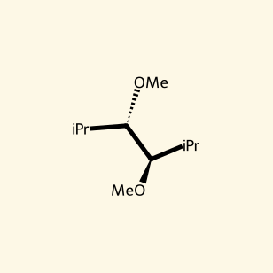 CO[C@H](C(C)C)[C@@H](OC)C(C)C